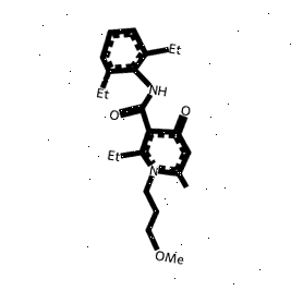 CCc1cccc(CC)c1NC(=O)c1c(CC)n(CCCOC)c(C)cc1=O